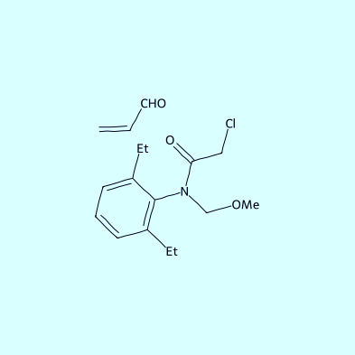 C=CC=O.CCc1cccc(CC)c1N(COC)C(=O)CCl